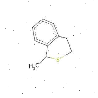 CC1SCCc2ccccc21